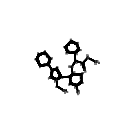 CCn1nc(-c2ccccc2)cc1-c1cc(Cl)ccc1OC(C(=O)OC)c1ccccc1